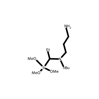 CCCCN(CCCN)C(CC)[Si](OC)(OC)OC